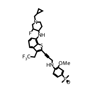 COc1cc(P(C)(C)=O)ccc1NCC#Cc1sc2c(NC3CCN(CC4CC4)CC3F)cccc2c1CC(F)(F)F